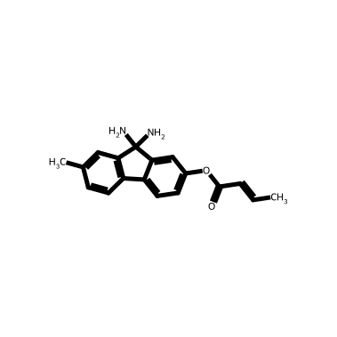 CC=CC(=O)Oc1ccc2c(c1)C(N)(N)c1cc(C)ccc1-2